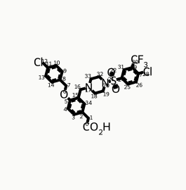 O=C(O)Cc1ccc(OCc2ccc(Cl)cc2)c(CN2CCN(S(=O)(=O)c3ccc(Cl)c(C(F)(F)F)c3)CC2)c1